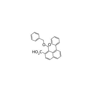 O=C(O)c1ccc2cccc(-c3ccccc3)c2c1C(=O)OCc1ccccc1